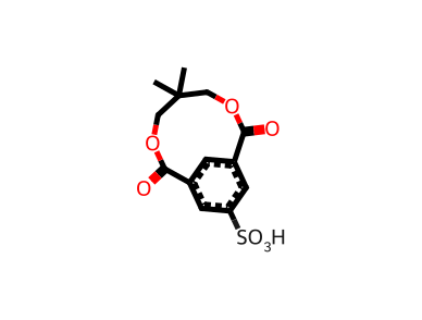 CC1(C)COC(=O)c2cc(cc(S(=O)(=O)O)c2)C(=O)OC1